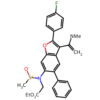 C=C(NC)c1c(-c2ccc(F)cc2)oc2cc(N(CC(=O)OCC)[S+](C)[O-])c(-c3ccccc3)cc12